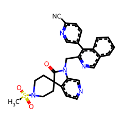 CS(=O)(=O)N1CCC2(CC1)C(=O)N(Cc1ncc3ccccc3c1-c1ccc(C#N)nc1)c1cnccc12